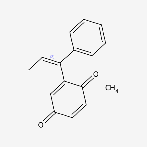 C.C/C=C(\C1=CC(=O)C=CC1=O)c1ccccc1